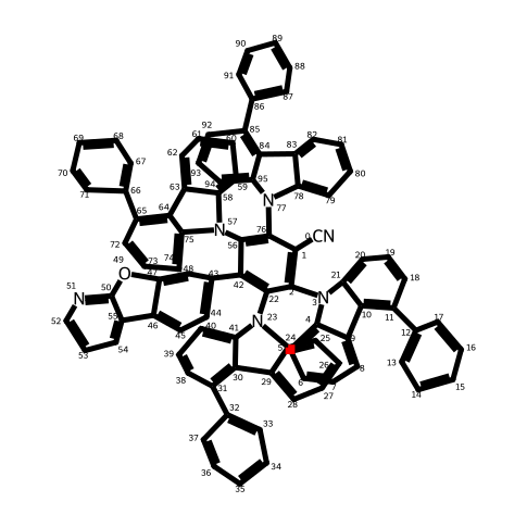 N#Cc1c(-n2c3ccccc3c3c(-c4ccccc4)cccc32)c(-n2c3ccccc3c3c(-c4ccccc4)cccc32)c(-c2ccc3c(c2)oc2ncccc23)c(-n2c3ccccc3c3c(-c4ccccc4)cccc32)c1-n1c2ccccc2c2c(-c3ccccc3)cccc21